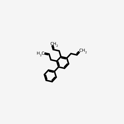 C=CCc1ccc(-c2ccccc2)c(CC=C)c1CC=C